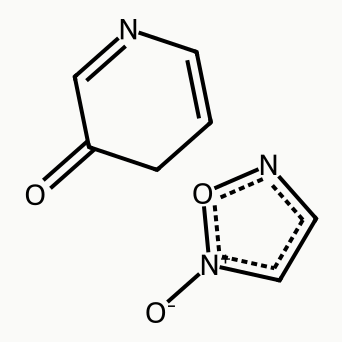 O=C1C=NC=CC1.[O-][n+]1ccno1